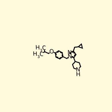 CC(C)COc1ccc(Cn2nc(CC3CC3)cc2C2CCNCC2)cc1